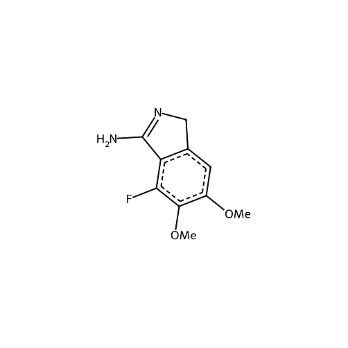 COc1cc2c(c(F)c1OC)C(N)=NC2